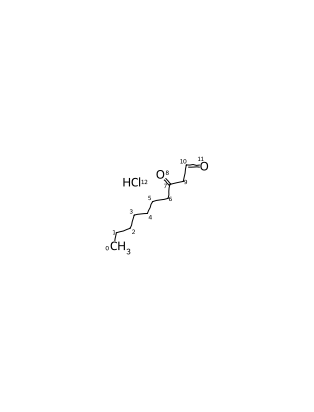 CCCCCCCC(=O)CC=O.Cl